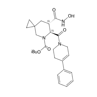 CC(C)COC(=O)N1CC2(CC2)C[C@H](C(=O)NO)[C@H]1C(=O)N1CC=C(c2ccccc2)CC1